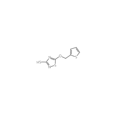 Sc1nsc(OCc2cccs2)n1